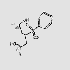 C[C@H](O)CC(C[C@H](C)O)S(=O)(=O)c1ccccc1